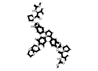 C=C(N[C@H](C(=O)N1CCC[C@H]1c1nc2cc([C@H]3CCC(c4ccc5[nH]c([C@@H]6CCCN6C(=C)[C@@H](NC(=O)OC)C(C)C)nc5c4)N3c3cc(F)c(N4CCC5(CC4)OCCO5)c(F)c3)ccc2[nH]1)C(C)C)OC